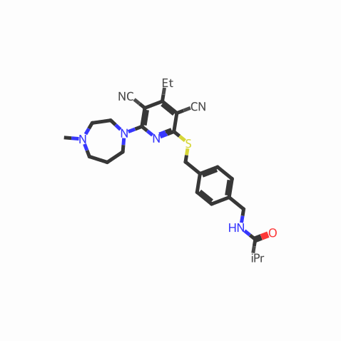 CCc1c(C#N)c(SCc2ccc(CNC(=O)C(C)C)cc2)nc(N2CCCN(C)CC2)c1C#N